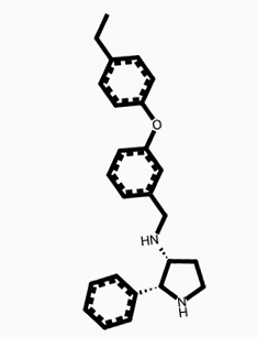 CCc1ccc(Oc2cccc(CN[C@@H]3CCN[C@@H]3c3ccccc3)c2)cc1